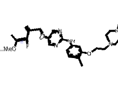 C=C(COc1cnc(Nc2ccc(C)c(OCCN3CCN(C)CC3)c2)nc1)/C(F)=C(\C)OC